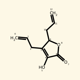 C=CCC1=C(O)C(=O)OC1CC=C